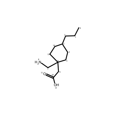 CCCC1CCC(CN)(CC(=O)O)CC1